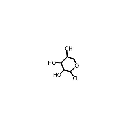 OC1COC(Cl)C(O)C1O